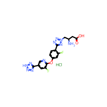 Cl.NC(CC(=O)O)Cn1nnc(-c2ccc(Oc3ncc(-c4nn[nH]n4)cc3F)cc2F)n1